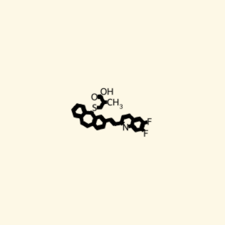 CC(CSC1c2ccccc2C=Cc2ccc(/C=C/c3ccc4cc(F)c(F)cc4n3)cc21)C(=O)O